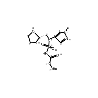 Cn1cc(N(C[C@@H]2CCCO2)S(=O)(=O)NC(=O)OC(C)(C)C)cn1